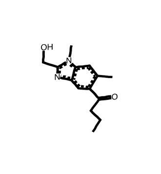 CCCC(=O)c1cc2nc(CO)n(C)c2cc1C